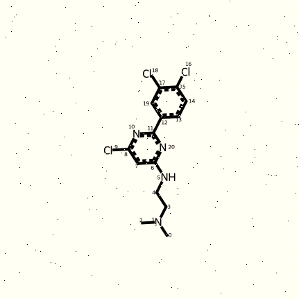 CN(C)CCNc1cc(Cl)nc(-c2ccc(Cl)c(Cl)c2)n1